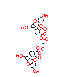 O=C(CCC(=O)OC(=O)c1cccc2c1C(=O)OC21c2ccc(O)cc2Oc2cc(O)ccc21)OC(=O)c1cccc2c1C(=O)OC21c2ccc(O)cc2Oc2cc(O)ccc21